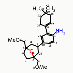 COCC12CCC(COC)(CC(c3ccc(N)c(C4=CCC(C)(C)CC4)c3)C1)O2